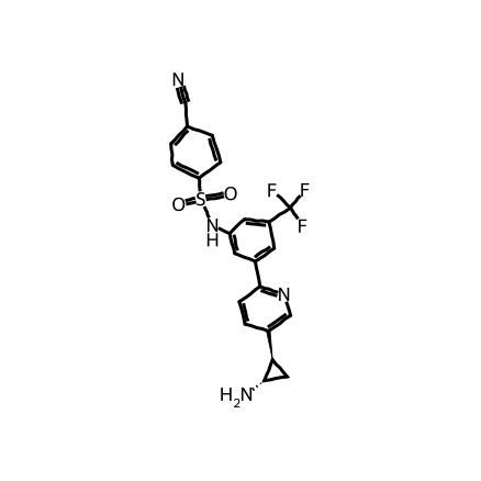 N#Cc1ccc(S(=O)(=O)Nc2cc(-c3ccc([C@H]4C[C@@H]4N)cn3)cc(C(F)(F)F)c2)cc1